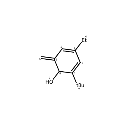 C=C1C=C(CC)C=C(C(C)(C)C)C1O